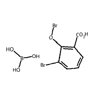 O=C(O)c1cccc(Br)c1OBr.OB(O)O